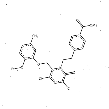 CCOc1ccc(C)cc1OCc1c(Cl)cc(Cl)c(=O)n1CCc1ccc(C(=O)OC)cc1